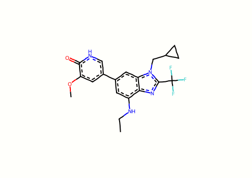 CCNc1cc(-c2c[nH]c(=O)c(OC)c2)cc2c1nc(C(F)(F)F)n2CC1CC1